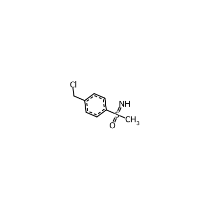 CS(=N)(=O)c1ccc(CCl)cc1